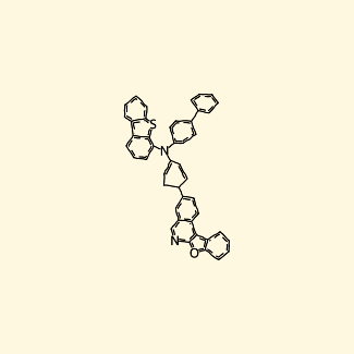 C1=CC(c2ccc3c(cnc4oc5ccccc5c43)c2)CC=C1N(c1ccc(-c2ccccc2)cc1)c1cccc2c1sc1ccccc12